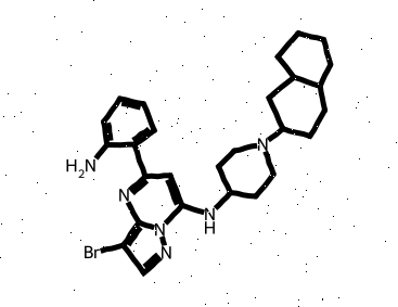 Nc1ccccc1-c1cc(NC2CCN(C3CCC4CCCCC4C3)CC2)n2ncc(Br)c2n1